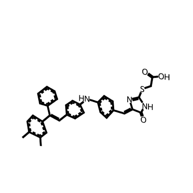 Cc1ccc(/C(=C/c2ccc(Nc3ccc(/C=C4\N=C(SCC(=O)O)NC4=O)cc3)cc2)c2ccccc2)cc1C